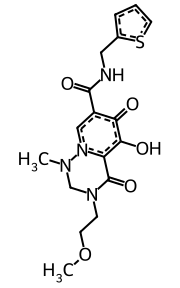 COCCN1CN(C)n2cc(C(=O)NCc3cccs3)c(=O)c(O)c2C1=O